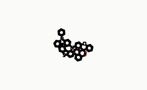 c1ccc(-n2c3ccccc3c3cc(N(c4ccc5c(c4)C4(c6ccccc6O5)c5ccccc5-c5cccc6cccc4c56)c4cccc5sc6ccccc6c45)ccc32)cc1